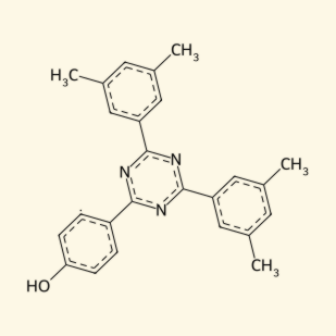 Cc1cc(C)cc(-c2nc(-c3[c]cc(O)cc3)nc(-c3cc(C)cc(C)c3)n2)c1